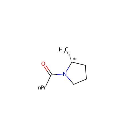 CCCC(=O)N1CCC[C@H]1C